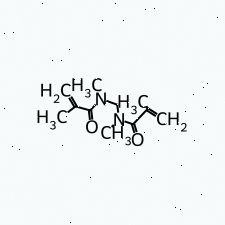 C=C(C)C(=O)N(C)CN(C)C(=O)C(=C)C